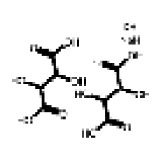 O=C(O)C(O)C(O)C(=O)O.O=C(O)C(O)C(O)C(=O)O.[KH].[NaH]